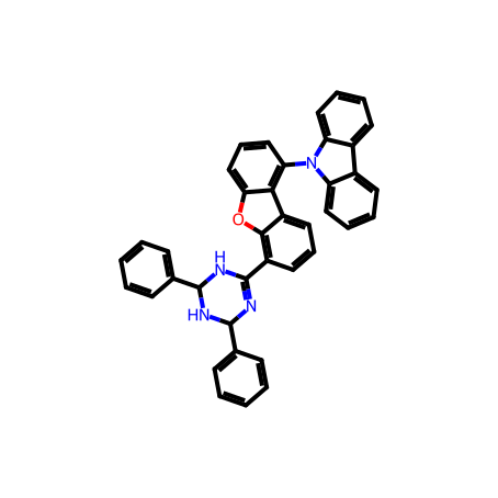 c1ccc(C2N=C(c3cccc4c3oc3cccc(-n5c6ccccc6c6ccccc65)c34)NC(c3ccccc3)N2)cc1